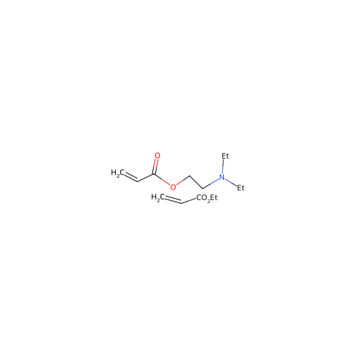 C=CC(=O)OCC.C=CC(=O)OCCN(CC)CC